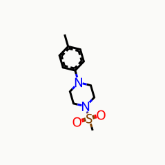 Cc1ccc(N2CCN(S(C)(=O)=O)CC2)cc1